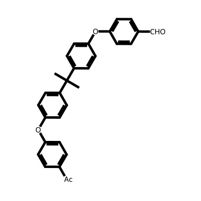 CC(=O)c1ccc(Oc2ccc(C(C)(C)c3ccc(Oc4ccc(C=O)cc4)cc3)cc2)cc1